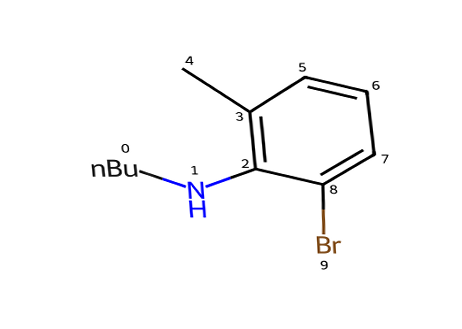 CCCCNc1c(C)cccc1Br